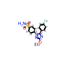 CCOc1nc(-c2ccc(F)cc2)n(-c2ccc(S(N)(=O)=O)cc2)n1